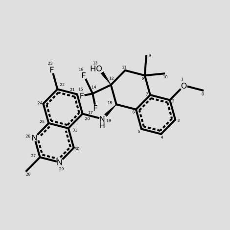 COc1cccc2c1C(C)(C)C[C@@](O)(C(F)(F)F)[C@@H]2Nc1cc(F)cc2nc(C)ncc12